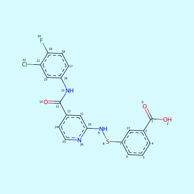 O=C(O)c1cccc(SNc2cc(C(=O)Nc3ccc(F)c(Cl)c3)ccn2)c1